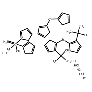 C1=CC[C]([Zr][C]2=CC=CC2)=C1.CC(C)(C)C1=[C]([Zr][C]2=C(C(C)(C)C)C=CC2)CC=C1.Cl.Cl.Cl.Cl.Cl.Cl.[CH3][Zr]([CH3])(=[SiH2])([C]1=CC=CC1)[C]1=CC=CC1